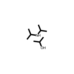 CC(C)NC(C)C.CC(C)O